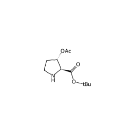 CC(=O)O[C@H]1CCN[C@@H]1C(=O)OC(C)(C)C